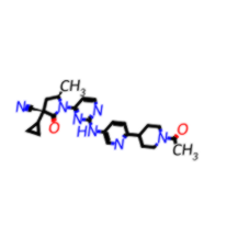 CC(=O)N1CCC(c2ccc(Nc3nccc(N4C(=O)[C@](C#N)(C5CC5)C[C@H]4C)n3)cn2)CC1